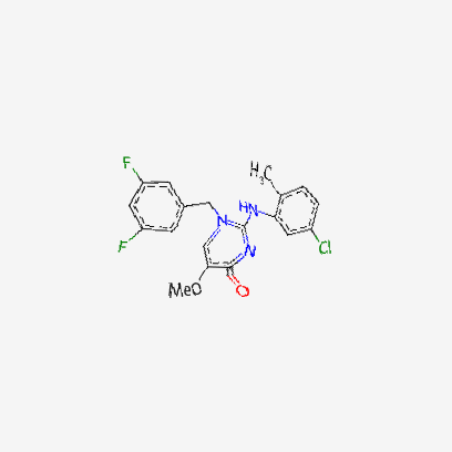 COc1cn(Cc2cc(F)cc(F)c2)c(Nc2cc(Cl)ccc2C)nc1=O